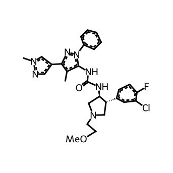 COCCN1C[C@@H](NC(=O)Nc2c(C)c(-c3cnn(C)c3)nn2-c2ccccc2)[C@H](c2ccc(F)c(Cl)c2)C1